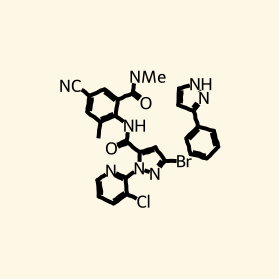 CNC(=O)c1cc(C#N)cc(C)c1NC(=O)c1cc(Br)nn1-c1ncccc1Cl.c1ccc(-c2cc[nH]n2)cc1